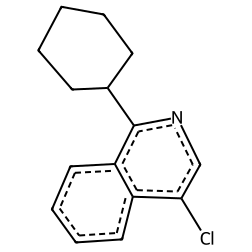 Clc1cnc(C2CCCCC2)c2ccccc12